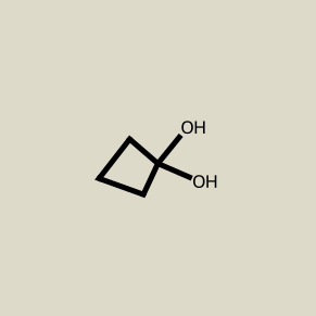 OC1(O)CCC1